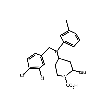 Cc1cccc(N(Cc2ccc(Cl)c(Cl)c2)C2CCN(C(=O)O)C(C(C)(C)C)C2)c1